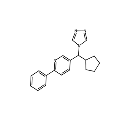 c1ccc(-c2ccc(C(C3CCCC3)n3cnnc3)cn2)cc1